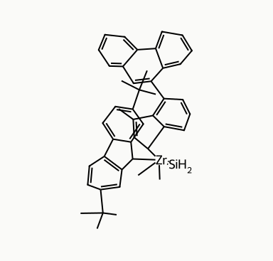 CC1=C[CH]([Zr]([CH3])([CH3])(=[SiH2])[CH]2c3cc(C(C)(C)C)ccc3-c3ccc(C(C)(C)C)cc32)c2cccc(-c3cc4ccccc4c4ccccc34)c21